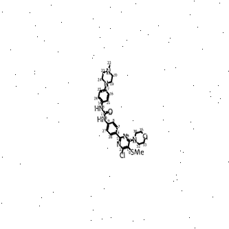 CSc1c(Cl)nc(-c2ccc(NC(=O)Nc3ccc(N4CCN(C)CC4)cc3)cc2)nc1N1CCOCC1